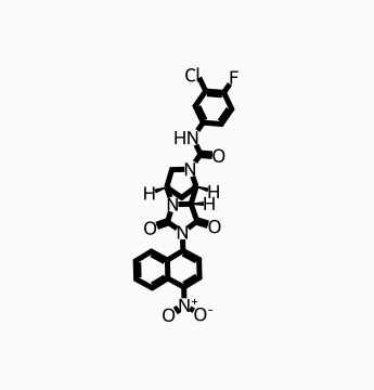 O=C1[C@H]2[C@@H]3C[C@@H](CN3C(=O)Nc3ccc(F)c(Cl)c3)N2C(=O)N1c1ccc([N+](=O)[O-])c2ccccc12